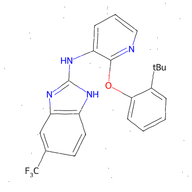 CC(C)(C)c1ccccc1Oc1ncccc1Nc1nc2cc(C(F)(F)F)ccc2[nH]1